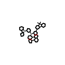 CC1(C)c2ccccc2-c2cc(-c3cccc(N(c4cccc(-n5c6ccccc6c6ccccc65)c4)c4ccccc4-c4cccc5cccc(-c6ccccc6)c45)c3)ccc21